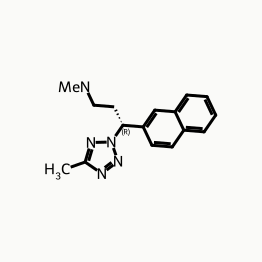 CNCC[C@H](c1ccc2ccccc2c1)n1nnc(C)n1